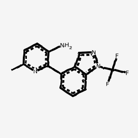 Cc1ccc(N)c(-c2cccc3c2cnn3C(F)(F)F)n1